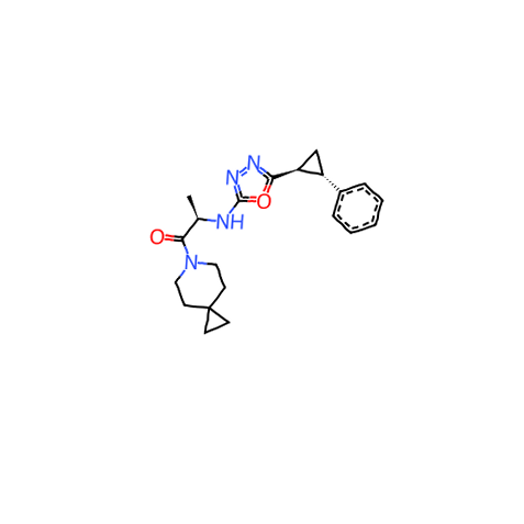 C[C@@H](Nc1nnc([C@H]2C[C@@H]2c2ccccc2)o1)C(=O)N1CCC2(CC1)CC2